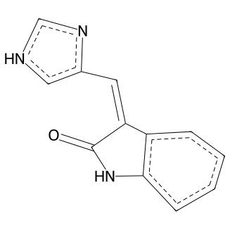 O=C1Nc2ccccc2/C1=C/c1c[nH]cn1